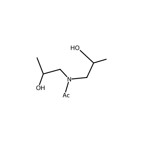 CC(=O)N(CC(C)O)CC(C)O